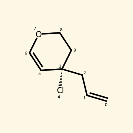 C=CC[C@@]1(Cl)C=COCC1